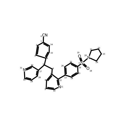 N#Cc1ccc(C(Cc2cccnc2-c2ccc(S(=O)(=O)N3CCCC3)cc2)c2cccnc2)cc1